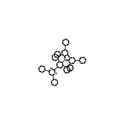 c1ccc(-c2cc(-c3ccccc3)c3c(c2)c2cc(-c4ccccc4)cc(-c4ccccc4)c2n3-c2c(-c3ccccc3)cc(-c3nc(-c4ccccc4)cc(-c4ccccc4)n3)cc2-c2ccccc2)cc1